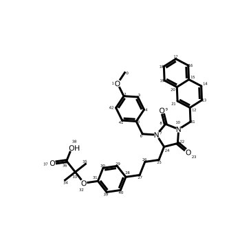 COc1ccc(CN2C(=O)N(Cc3ccc4ccccc4c3)C(=O)C2CCCc2ccc(OC(C)(C)C(=O)O)cc2)cc1